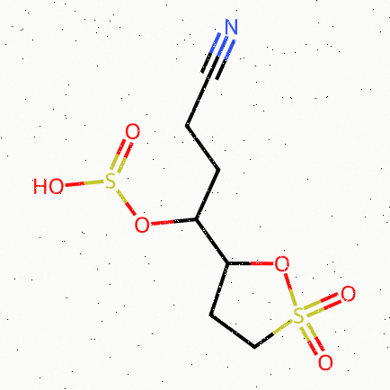 N#CCCC(OS(=O)O)C1CCS(=O)(=O)O1